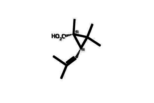 CC(C)=C[C@H]1C(C)(C)[C@@]1(C)C(=O)O